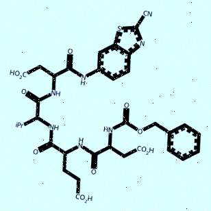 CC(C)C(NC(=O)C(CCC(=O)O)NC(=O)C(CC(=O)O)NC(=O)OCc1ccccc1)C(=O)NC(CC(=O)O)C(=O)Nc1ccc2nc(C#N)sc2c1